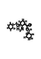 Nc1c(OCc2ccccc2)cccc1C(=O)OCc1ccccc1